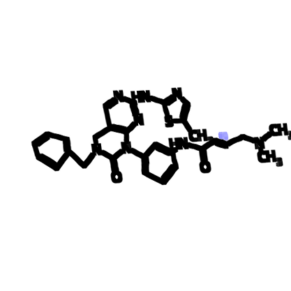 Cc1cnc(Nc2ncc3c(n2)N(c2cccc(NC(=O)/C=C/CN(C)C)c2)C(=O)N(Cc2ccccc2)C3)s1